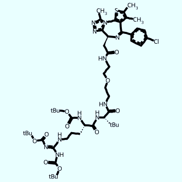 Cc1sc2c(c1C)C(c1ccc(Cl)cc1)=N[C@@H](CC(=O)NCCOCCNC(=O)[C@@H](NC(=O)[C@H](CCCN/C(=N\C(=O)OC(C)(C)C)NC(=O)OC(C)(C)C)NC(=O)OC(C)(C)C)C(C)(C)C)c1nnc(C)n1-2